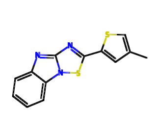 Cc1csc(-c2nc3nc4ccccc4n3s2)c1